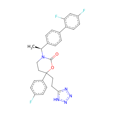 C[C@@H](c1ccc(-c2ccc(F)cc2F)cc1)N1CCC(CCc2nnn[nH]2)(c2ccc(F)cc2)OC1=O